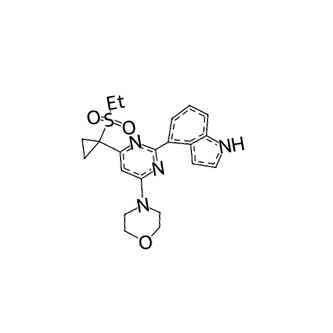 CCS(=O)(=O)C1(c2cc(N3CCOCC3)nc(-c3cccc4[nH]ccc34)n2)CC1